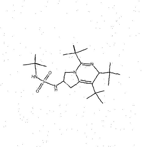 CC(C)(C)NS(=O)(=O)NC1CC2=C(C(C)(C)C)C(C(C)(C)C)N=C(C(C)(C)C)N2C1